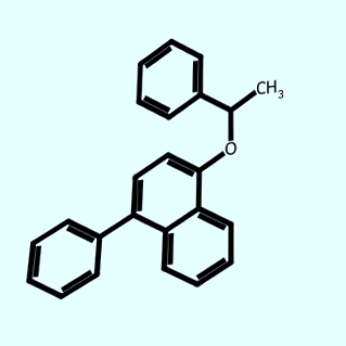 CC(Oc1ccc(-c2ccccc2)c2ccccc12)c1ccccc1